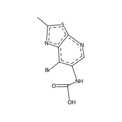 Cc1nc2c(Br)c(NC(=O)O)cnc2s1